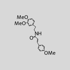 COc1ccc(/C=C/C(=O)NCCc2ccc(OC)c(OC)c2)cc1